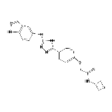 O=C(COc1ccc(-c2nnc(Nc3ccc4[nH]ncc4c3)[nH]2)cc1)NC1COC1